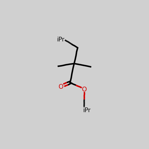 CC(C)CC(C)(C)C(=O)OC(C)C